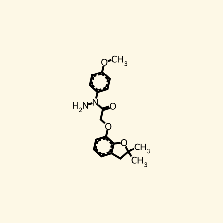 COc1ccc(N(N)C(=O)COc2cccc3c2OC(C)(C)C3)cc1